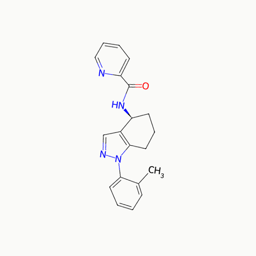 Cc1ccccc1-n1ncc2c1CCC[C@@H]2NC(=O)c1ccccn1